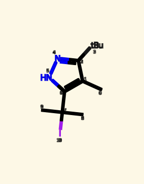 Cc1c(C(C)(C)C)n[nH]c1C(C)(C)I